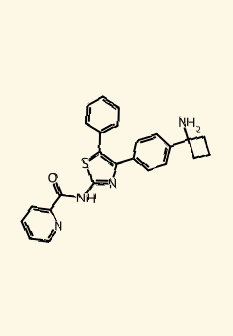 NC1(c2ccc(-c3nc(NC(=O)c4ccccn4)sc3-c3ccccc3)cc2)CCC1